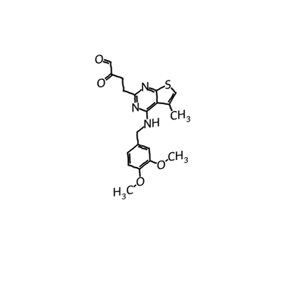 COc1ccc(CNc2nc(CCC(=O)C=O)nc3scc(C)c23)cc1OC